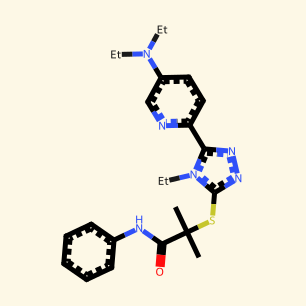 CCN(CC)c1ccc(-c2nnc(SC(C)(C)C(=O)Nc3ccccc3)n2CC)nc1